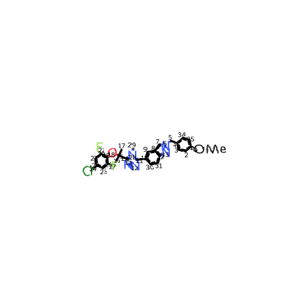 COc1ccc(Cn2cc3cc(-c4nnc(C(C)(C)Oc5c(F)cc(Cl)cc5F)n4C)ccc3n2)cc1